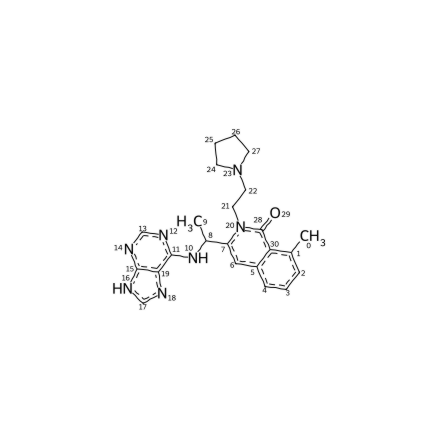 Cc1cccc2cc(C(C)Nc3ncnc4[nH]cnc34)n(CCN3CCCC3)c(=O)c12